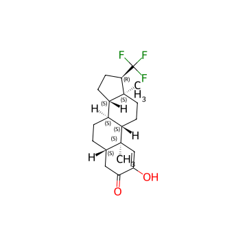 C[C@]12C=C(O)C(=O)C[C@@H]1CC[C@@H]1[C@@H]2CC[C@@]2(C)[C@H]1CC[C@H]2C(F)(F)F